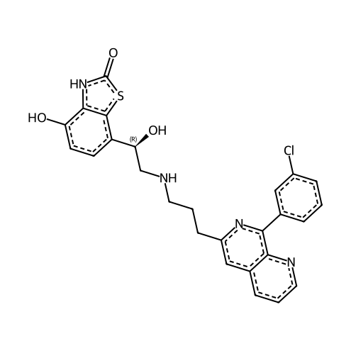 O=c1[nH]c2c(O)ccc([C@@H](O)CNCCCc3cc4cccnc4c(-c4cccc(Cl)c4)n3)c2s1